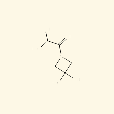 C=C(C(C)C)N1CC(C)(C)C1